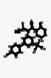 C=C1C=CC=CN1C(=O)/C(=C(\C)O)c1cc(-c2ccc(F)nc2)cc(C(F)(F)F)c1